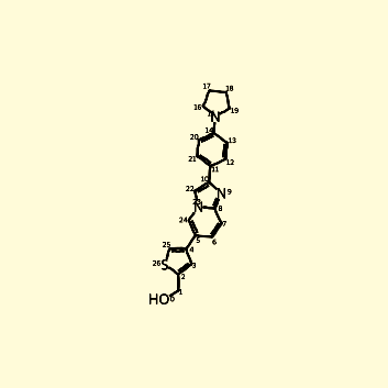 OCc1cc(-c2ccc3nc(-c4ccc(N5CCCC5)cc4)cn3c2)cs1